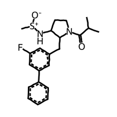 CC(C)C(=O)N1CCC(N[S+](C)[O-])C1Cc1cc(F)cc(-c2ccccc2)c1